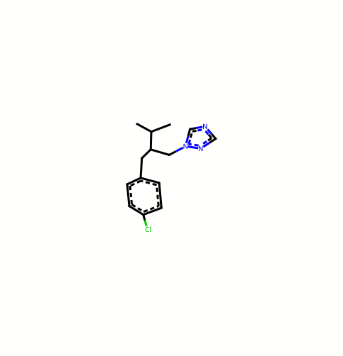 CC(C)C(Cc1ccc(Cl)cc1)Cn1cncn1